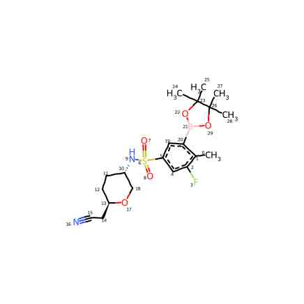 Cc1c(F)cc(S(=O)(=O)N[C@H]2CC[C@H](CC#N)OC2)cc1B1OC(C)(C)C(C)(C)O1